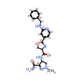 CN1CC(NC(=O)C2COC(c3ccnc(NCc4ccccc4)c3)=N2)C(C(N)=O)=N1